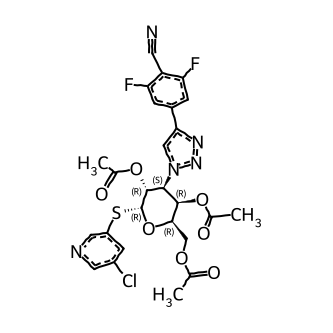 CC(=O)OC[C@H]1O[C@H](Sc2cncc(Cl)c2)[C@H](OC(C)=O)[C@@H](n2cc(-c3cc(F)c(C#N)c(F)c3)nn2)[C@H]1OC(C)=O